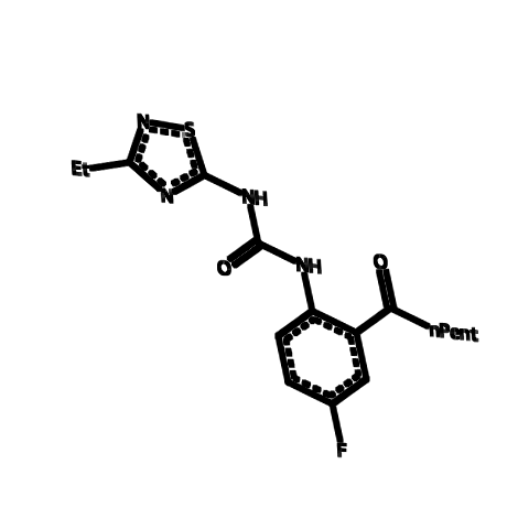 CCCCCC(=O)c1cc(F)ccc1NC(=O)Nc1nc(CC)ns1